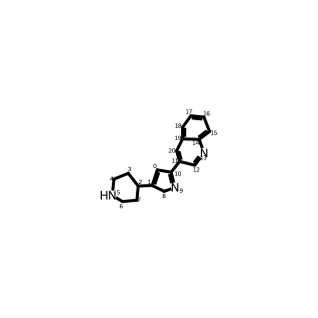 C1=C(C2CCNCC2)CN=C1c1cnc2ccccc2c1